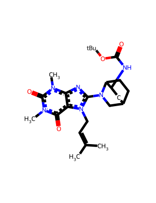 CC(C)=CCn1c(N2CC3CCC2C(NC(=O)OC(C)(C)C)C3)nc2c1c(=O)n(C)c(=O)n2C